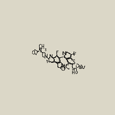 CN(C1COC1)C1CN(c2ncc3c4c(c(-c5ncc(F)c6sc(NC(=O)OC(C)(C)C)c(C#N)c56)c(F)c3n2)COC4)C1